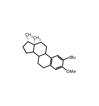 COc1cc2c(cc1C(C)(C)C)C1CC[C@@]3(C)C(CC[C@@H]3C)C1CC2